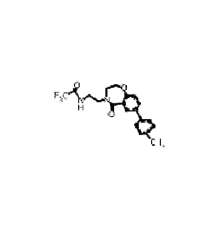 Cc1ccc(-c2ccc3c(c2)C(=O)N(CCNC(=O)C(F)(F)F)CCO3)cc1